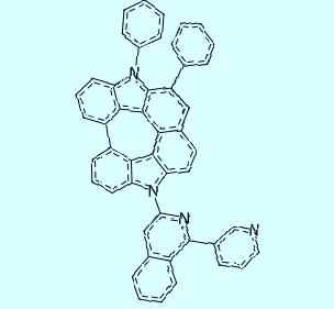 c1ccc(-c2cc3ccc4c5c6c(cccc6n4-c4cc6ccccc6c(-c6cccnc6)n4)-c4cccc6c4c(c35)c2n6-c2ccccc2)cc1